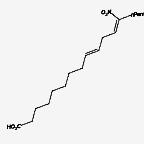 CCCCCC(=CCC=CCCCCCCCC(=O)O)[N+](=O)[O-]